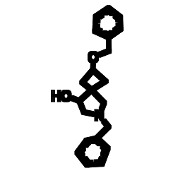 OC1CN(Cc2ccccc2)CC12CC(OCc1ccccc1)C2